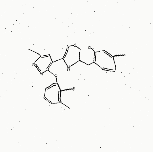 Cc1ccc(CC2CON=C(c3cc(C)nnc3Oc3cccc(C)c3F)N2)c(Cl)c1